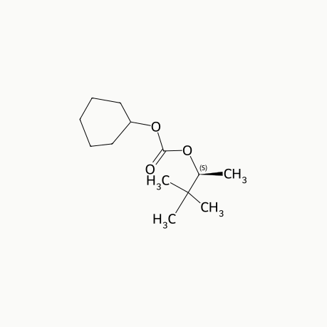 C[C@H](OC(=O)OC1CCCCC1)C(C)(C)C